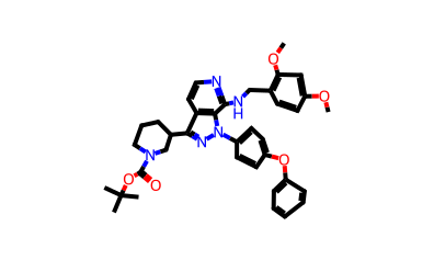 COc1ccc(CNc2nccc3c(C4CCCN(C(=O)OC(C)(C)C)C4)nn(-c4ccc(Oc5ccccc5)cc4)c23)c(OC)c1